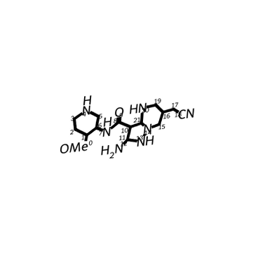 COC1CCNCC1NC(=O)C1C(N)NN2CC(CC#N)CNC12